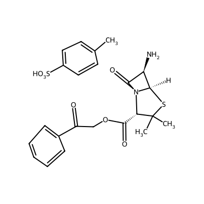 CC1(C)S[C@@H]2[C@H](N)C(=O)N2[C@H]1C(=O)OCC(=O)c1ccccc1.Cc1ccc(S(=O)(=O)O)cc1